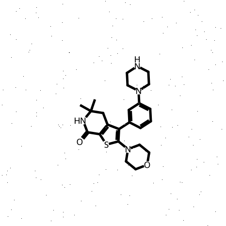 CC1(C)Cc2c(sc(N3CCOCC3)c2-c2cccc(N3CCNCC3)c2)C(=O)N1